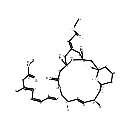 COC(=O)/C=C1/C[C@H]2CC(=O)O[C@@H](/C=C/C=C\C=C(/C)CC(=O)OC)[C@@H](C)/C=C/[C@H](C)C[C@H]3CCC[C@@H](C[C@@H](C1)O2)O3